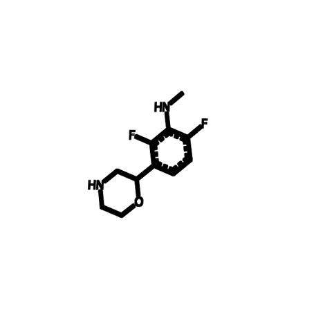 CNc1c(F)ccc(C2CNCCO2)c1F